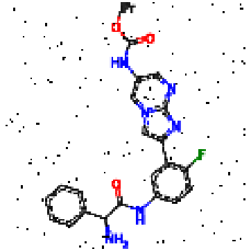 CC(C)OC(=O)Nc1cnc2nc(-c3cc(NC(=O)[C@@H](N)c4ccccc4)ccc3F)cn2c1